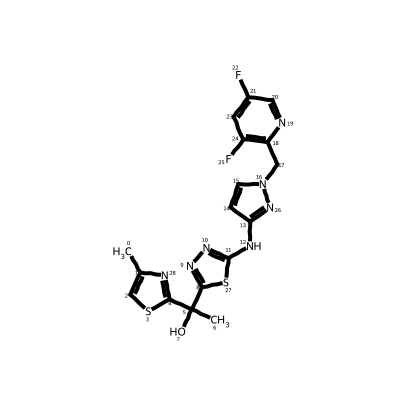 Cc1csc(C(C)(O)c2nnc(Nc3ccn(Cc4ncc(F)cc4F)n3)s2)n1